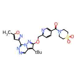 Cc1cc(-c2nncc3c(C(C)(C)C)c(OCc4ccc(C(=O)N5CCS(=O)(=O)CC5)cn4)nn23)no1